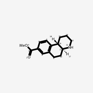 COC(=O)c1ccc2c(c1)CC[C@@H]1NCCC[C@@H]21